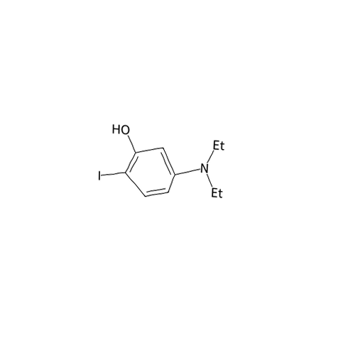 CCN(CC)c1ccc(I)c(O)c1